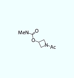 CNC(=O)OC1CN(C(C)=O)C1